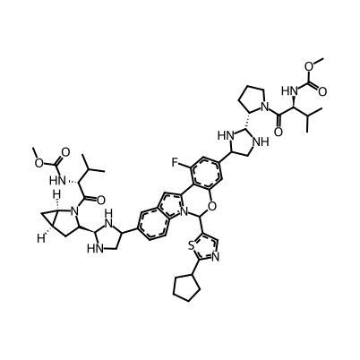 COC(=O)N[C@H](C(=O)N1CCC[C@H]1C1NCC(c2cc(F)c3c(c2)OC(c2cnc(C4CCCC4)s2)n2c-3cc3cc(C4CN[C@@H](C5C[C@H]6C[C@H]6N5C(=O)[C@H](NC(=O)OC)C(C)C)N4)ccc32)N1)C(C)C